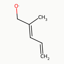 C=C/C=C(\C)C[O]